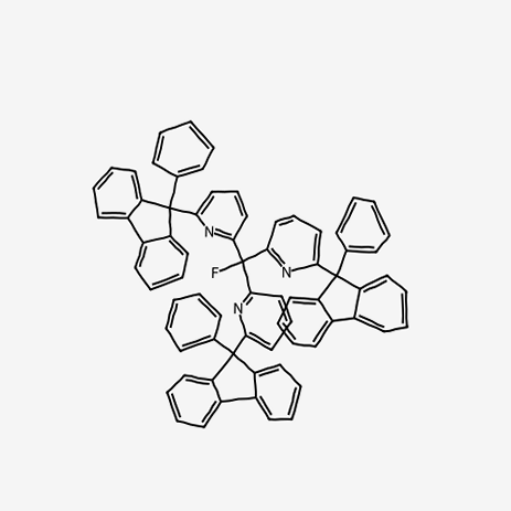 FC(c1cccc(C2(c3ccccc3)c3ccccc3-c3ccccc32)n1)(c1cccc(C2(c3ccccc3)c3ccccc3-c3ccccc32)n1)c1cccc(C2(c3ccccc3)c3ccccc3-c3ccccc32)n1